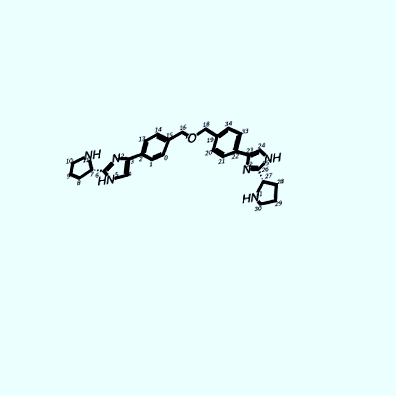 c1cc(-c2c[nH]c([C@@H]3CCCN3)n2)ccc1COCc1ccc(-c2c[nH]c([C@@H]3CCCN3)n2)cc1